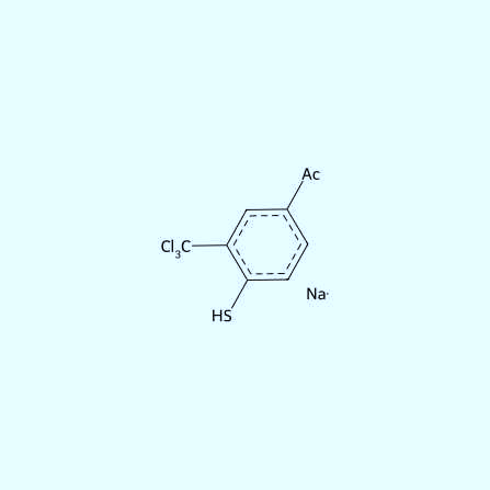 CC(=O)c1ccc(S)c(C(Cl)(Cl)Cl)c1.[Na]